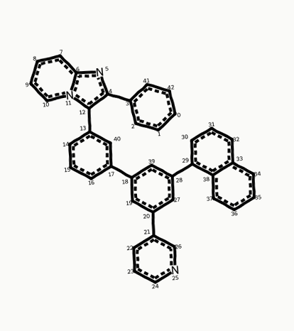 c1ccc(-c2nc3ccccn3c2-c2cccc(-c3cc(-c4cccnc4)cc(-c4cccc5ccccc45)c3)c2)cc1